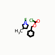 CC1CCN(F)C1.O=C(Cl)OCc1ccccc1